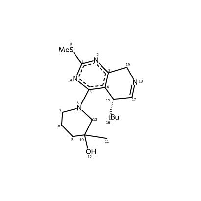 CSc1nc2c(c(N3CCCC(C)(O)C3)n1)[C@@H](C(C)(C)C)C=NC2